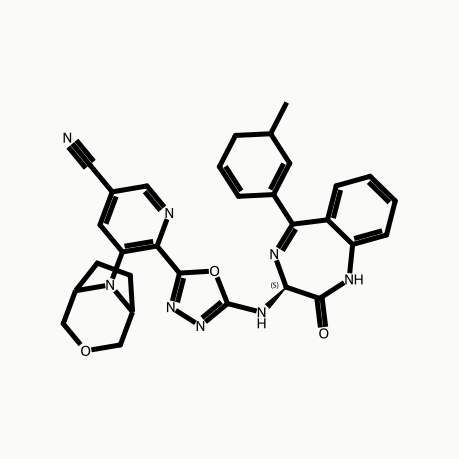 CC1C=C(C2=N[C@H](Nc3nnc(-c4ncc(C#N)cc4N4C5CCC4COC5)o3)C(=O)Nc3ccccc32)C=CC1